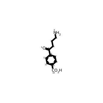 NCCCC(=O)c1ccc(C(=O)O)cc1